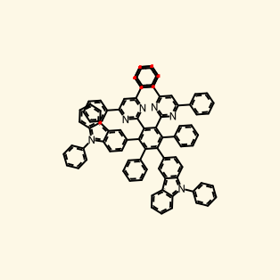 c1ccc(-c2cc(-c3ccccc3)nc(-c3c(-c4ccccc4)c(-c4ccc5c(c4)c4ccccc4n5-c4ccccc4)c(-c4ccccc4)c(-c4ccc5c(c4)c4ccccc4n5-c4ccccc4)c3-c3nc(-c4ccccc4)cc(-c4ccccc4)n3)n2)cc1